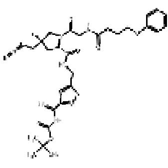 CC(C)(C)OC(=O)NC(=N)c1csc(CNC(=O)[C@@H]2C[C@](F)(CN=[N+]=[N-])CN2C(=O)CNC(=O)CCCOc2ccccc2)c1